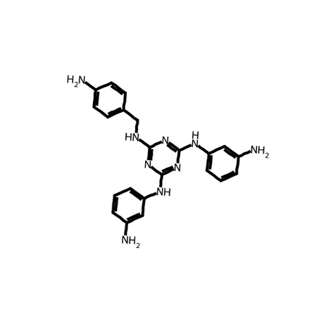 Nc1ccc(CNc2nc(Nc3cccc(N)c3)nc(Nc3cccc(N)c3)n2)cc1